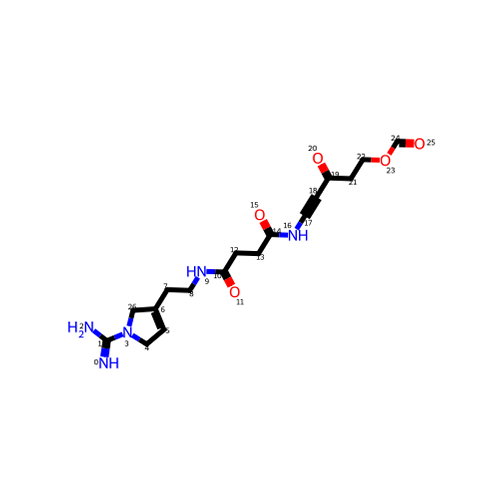 N=C(N)N1CC=C(CCNC(=O)CCC(=O)NC#CC(=O)CCOC=O)C1